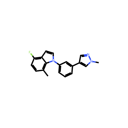 Cc1ccc(F)c2ccn(-c3cccc(-c4cnn(C)c4)c3)c12